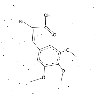 COc1cc(/C=C(/Br)C(=O)O)cc(OC)c1OC